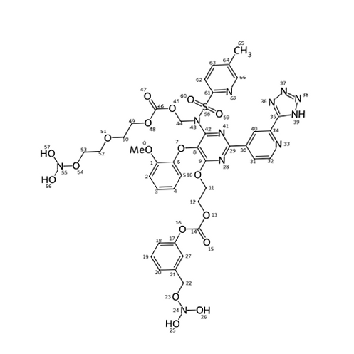 COc1ccccc1Oc1c(OCCOC(=O)Oc2cccc(CON(O)O)c2)nc(-c2ccnc(-c3nnn[nH]3)c2)nc1N(COC(=O)OCCOCCON(O)O)S(=O)(=O)c1ccc(C)cn1